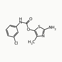 Cc1nc(N)sc1OC(=O)Nc1cccc(Cl)c1